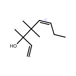 [CH]=CC(C)(O)C(C)(C)/C=C\CC